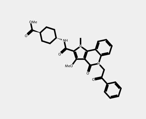 COc1c(C(=O)N[C@H]2CC[C@H](C(=O)OC)CC2)n(C)c2c1c(=O)n(CC(=O)c1ccccc1)c1ccccc21